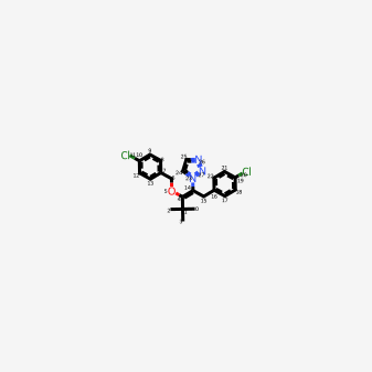 CC(C)(C)C(OCc1ccc(Cl)cc1)=C(Cc1ccc(Cl)cc1)n1ccnn1